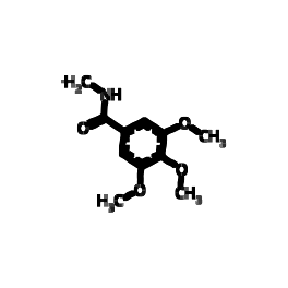 [CH2]NC(=O)c1cc(OC)c(OC)c(OC)c1